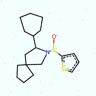 [O-][S+](c1cccs1)N1CC2(CCCC2)CC1C1CCCCC1